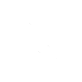 Cc1ncc(/C=C/[N+](=O)[O-])cn1